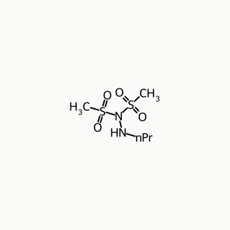 CCCNN(S(C)(=O)=O)S(C)(=O)=O